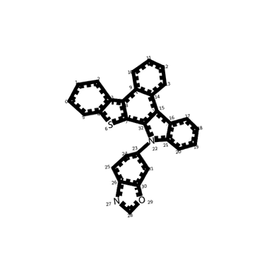 c1ccc2c(c1)sc1c2c2ccccc2c2c3ccccc3n(-c3ccc4ncoc4c3)c12